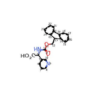 O=C(NC(C(=O)O)c1cccnc1)OCC1c2ccccc2-c2ccccc21